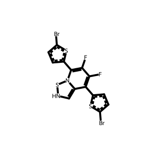 FC1=C(c2ccc(Br)s2)C2=CNSN2C(c2ccc(Br)s2)=C1F